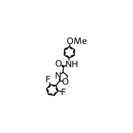 COc1ccc(NC(=O)C2COC(c3c(F)cccc3F)=N2)cc1